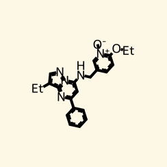 CCOc1ccc(CNc2cc(-c3ccccc3)nc3c(CC)cnn23)c[n+]1[O-]